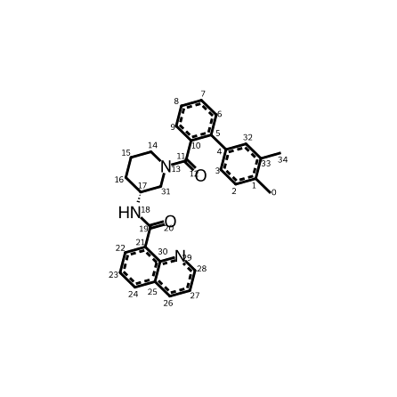 Cc1ccc(-c2ccccc2C(=O)N2CCC[C@@H](NC(=O)c3cccc4cccnc34)C2)cc1C